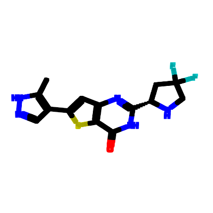 Cc1[nH]ncc1-c1cc2nc([C@@H]3CC(F)(F)CN3)[nH]c(=O)c2s1